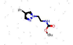 CC(C)c1cnn(CCNC(=O)OC(C)(C)C)c1